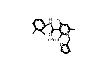 CCCCCc1c(C(=O)Nc2cccc(C)c2C)c(=O)cc(C)n1Cc1ccco1